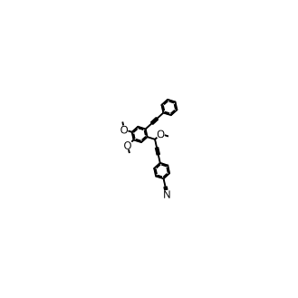 COc1cc(C#Cc2ccccc2)c(C(C#Cc2ccc(C#N)cc2)OC)cc1OC